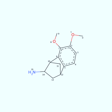 COc1ccc2c(c1OC)C1CC2CC1N